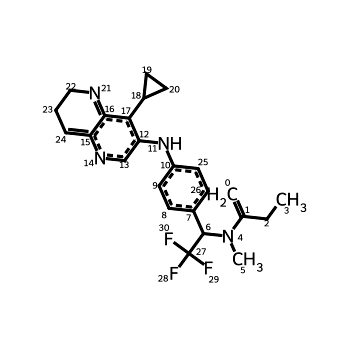 C=C(CC)N(C)C(c1ccc(Nc2cnc3c(c2C2CC2)=NCCC=3)cc1)C(F)(F)F